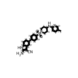 Cc1ccc(NC2CCN(S(=O)(=O)c3ccc(-c4ccc5[nH]c(N)c(C#N)c5c4)cc3)CC2)nc1